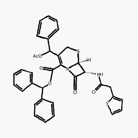 CC(=O)OC(C1=C(C(=O)OC(c2ccccc2)c2ccccc2)N2C(=O)[C@@H](NC(=O)Cc3cccs3)[C@@H]2SC1)c1ccccc1